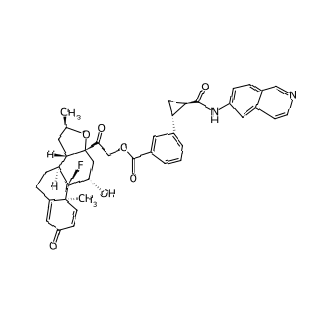 C[C@@H]1C[C@H]2[C@@H]3CCC4=CC(=O)C=C[C@]4(C)[C@@]3(F)[C@@H](O)C[C@@]2(C(=O)COC(=O)c2cccc([C@@H]3C[C@H]3C(=O)Nc3ccc4cnccc4c3)c2)O1